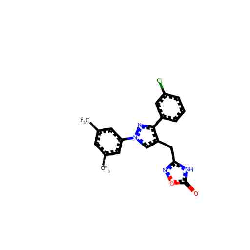 O=c1[nH]c(Cc2cn(-c3cc(C(F)(F)F)cc(C(F)(F)F)c3)nc2-c2cccc(Cl)c2)no1